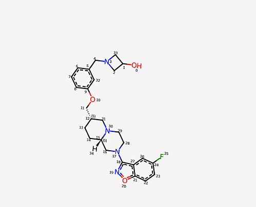 OC1CN(Cc2cccc(OC[C@H]3CC[C@H]4CN(c5noc6ccc(F)cc56)CCN4C3)c2)C1